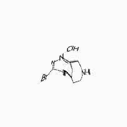 Brc1nnc2n1CCNC2.Cl